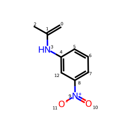 C=C(C)Nc1cccc([N+](=O)[O-])c1